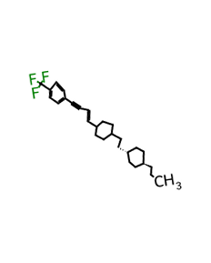 CCC[C@H]1CC[C@H](CCC2CCC(/C=C/C#Cc3ccc(C(F)(F)F)cc3)CC2)CC1